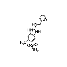 NS(=O)(=O)c1cc2c(cc1C(F)(F)F)NC(NCc1ccco1)N2